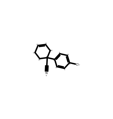 N#CC1(c2ccc(Cl)cc2)CC=CCC1